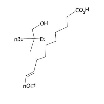 CCCCC(C)(CC)CO.CCCCCCCCC=CCCCCCCCC(=O)O